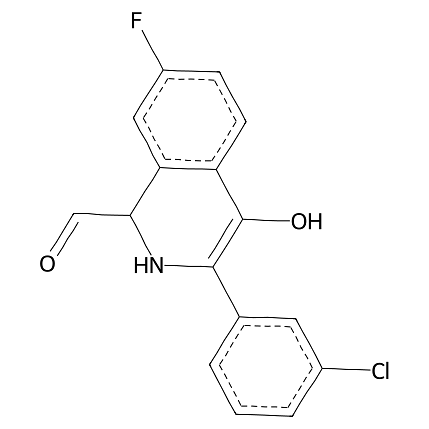 O=CC1NC(c2cccc(Cl)c2)=C(O)c2ccc(F)cc21